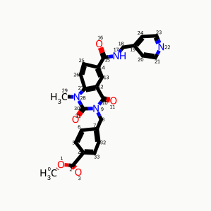 COC(=O)c1ccc(Cn2c(=O)c3cc(C(=O)NCc4ccncc4)ccc3n(C)c2=O)cc1